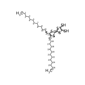 CCCCCCCCCCCCSC1=C(SCCCCCCCCCCCC)SC(=C2SC(S)=C(S)S2)S1